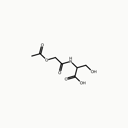 CC(=O)OCC(=O)NC(CO)C(=O)O